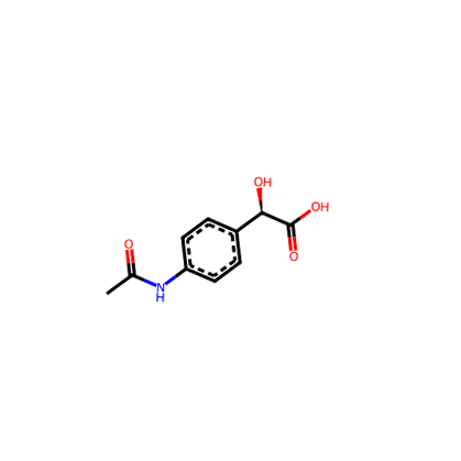 CC(=O)Nc1ccc([C@@H](O)C(=O)O)cc1